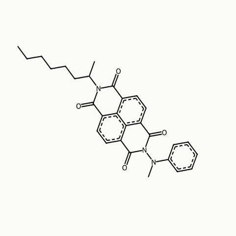 CCCCCCC(C)N1C(=O)c2ccc3c4c(ccc(c24)C1=O)C(=O)N(N(C)c1ccccc1)C3=O